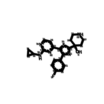 OC1(c2nc(-c3ccc(F)cc3)c(-c3ccnc(NC4CC4)n3)s2)CCNCC1